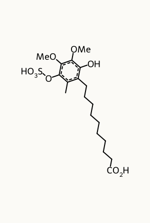 COc1c(O)c(CCCCCCCCCC(=O)O)c(C)c(OS(=O)(=O)O)c1OC